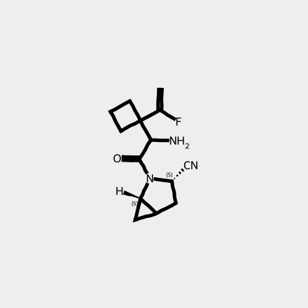 C=C(F)C1(C(N)C(=O)N2[C@H](C#N)CC3C[C@@H]32)CCC1